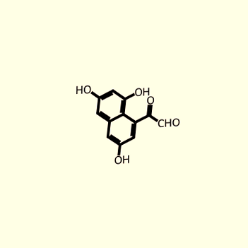 O=CC(=O)c1cc(O)cc2cc(O)cc(O)c12